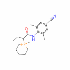 CCC(C(=O)Nc1c(C)cc(C#N)cc1C)[PH]1(C)CCCCC1